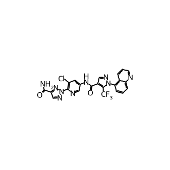 NC(=O)c1cnn(-c2ncc(NC(=O)c3cnn(-c4cccc5ncccc45)c3C(F)(F)F)cc2Cl)n1